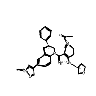 CC(=O)N1CCC(N[C@H]2CCOC2)=C(C(=N)N2C[C@H](c3ccccc3)Cc3cc(-c4cnn(C)c4)ccc32)C1